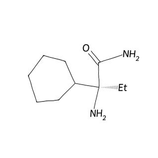 CC[C@@](N)(C(N)=O)C1CCCCC1